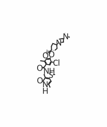 CSc1cc(C)[nH]c(=O)c1CNC(=O)c1cc(Cl)c2c(c1C)O[C@@](C)([C@H]1CC[C@H](N3CC(N(C)C)C3)CC1)O2